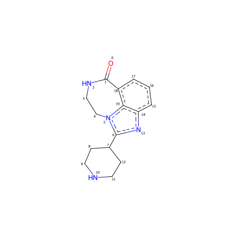 O=C1NCCn2c(C3CCNCC3)nc3cccc1c32